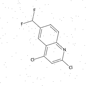 FC(F)c1ccc2nc(Cl)cc(Cl)c2c1